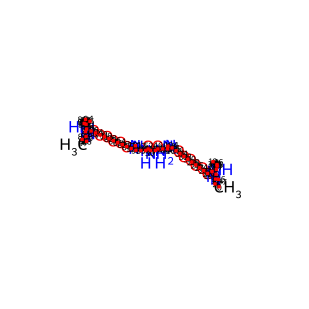 CC1CCN(c2nc(NC34CC5CC(CC(C5)C3)C4)nc(OCCOCCOCCOCCOCCOCCn3cc(CCNC(=O)CC[C@H](N)C(=O)NCCc4cn(CCOCCOCCOCCOCCOCCOc5nc(NC67CC8CC(CC(C8)C6)C7)nc(N6CCC(C)CC6)n5)nn4)nn3)n2)CC1